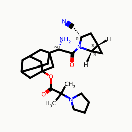 CC(C)(C(=O)OC12CC3CC(C1)CC([C@H](N)C(=O)N1[C@H](C#N)C[C@@H]4C[C@@H]41)(C3)C2)N1CCCC1